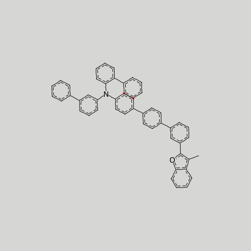 Cc1c(-c2cccc(-c3ccc(-c4ccc(N(c5cccc(-c6ccccc6)c5)c5ccccc5-c5ccccc5)cc4)cc3)c2)oc2ccccc12